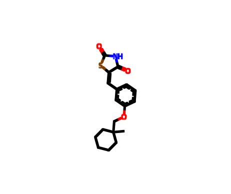 CC1(COc2cccc(C=C3SC(=O)NC3=O)c2)CCCCC1